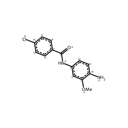 COc1cc(NC(=O)c2ccc(Cl)cc2)ccc1N